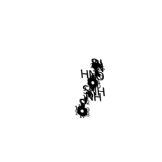 O=C(Nc1ccc(NC(=S)NCCSc2ccccc2)cc1)c1csnn1